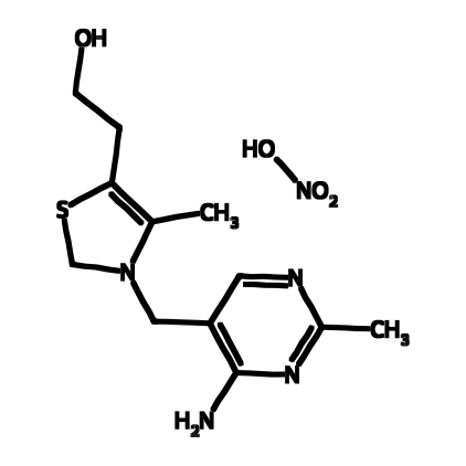 CC1=C(CCO)SCN1Cc1cnc(C)nc1N.O=[N+]([O-])O